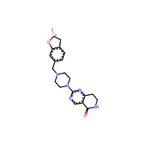 C[C@@H]1Cc2ccc(CN3CCN(c4ncc5c(n4)CCNC5=O)CC3)cc2O1